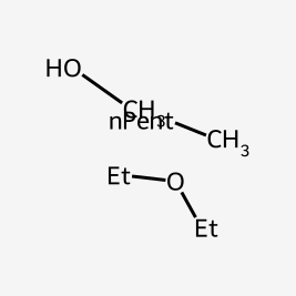 CCCCCC.CCOCC.CO